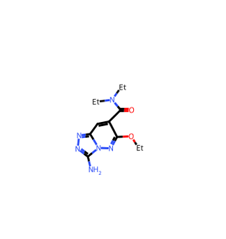 CCOc1nn2c(N)nnc2cc1C(=O)N(CC)CC